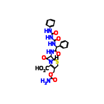 NC(=O)OCC1=C(C(=O)O)N2C(=O)C(NC(=O)C(NC(=O)NC(=O)Nc3ccccc3)c3ccccc3)[C@@H]2SC1